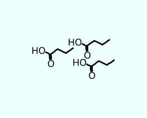 CCCC(=O)O.CCCC(=O)O.CCCC(=O)O